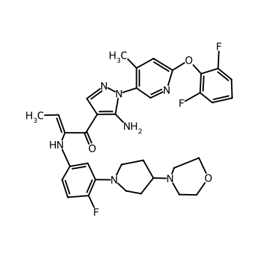 C/C=C(\Nc1ccc(F)c(N2CCC(N3CCOCC3)CC2)c1)C(=O)c1cnn(-c2cnc(Oc3c(F)cccc3F)cc2C)c1N